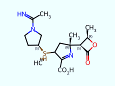 C#[SH](C1C[C@](C)([C@@H]2C(=O)O[C@@H]2C)N=C1C(=O)O)[C@H]1CCN(C(C)=N)C1